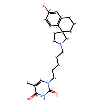 Cc1cn(CCCCCN2CCC3(CCCc4cc(Br)ccc43)C2)c(=O)[nH]c1=O